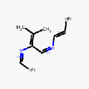 CCC/C=N\C(/C=N\C=C\CCC)=C(C)C